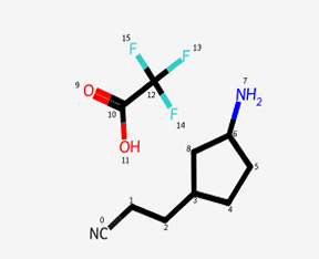 N#CCCC1CCC(N)C1.O=C(O)C(F)(F)F